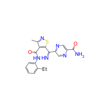 CCc1ccccc1NC(=O)c1c(C)nsc1C(=N)c1cnc(C(N)=O)cn1